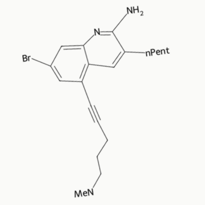 CCCCCc1cc2c(C#CCCCNC)cc(Br)cc2nc1N